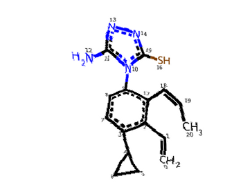 C=Cc1c(C2CC2)ccc(-n2c(N)nnc2S)c1/C=C\C